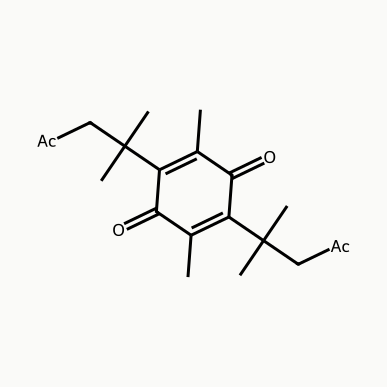 CC(=O)CC(C)(C)C1=C(C)C(=O)C(C(C)(C)CC(C)=O)=C(C)C1=O